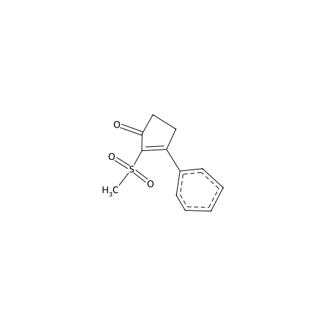 CS(=O)(=O)C1=C(c2ccccc2)CCC1=O